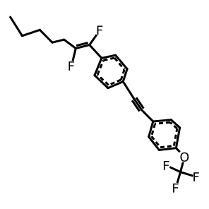 CCCCC/C(F)=C(\F)c1ccc(C#Cc2ccc(OC(F)(F)F)cc2)cc1